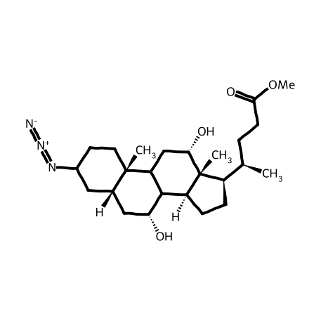 COC(=O)CC[C@@H](C)[C@H]1CC[C@H]2C3C(C[C@H](O)[C@]12C)[C@@]1(C)CCC(N=[N+]=[N-])C[C@H]1C[C@H]3O